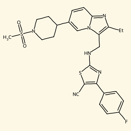 CCc1nc2ccc(C3CCN(S(C)(=O)=O)CC3)cn2c1CNc1nc(-c2ccc(F)cc2)c(C#N)s1